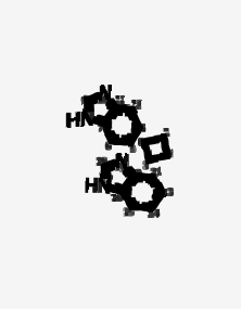 C1CCC1.c1ccc2[nH]cnc2c1.c1ccc2[nH]cnc2c1